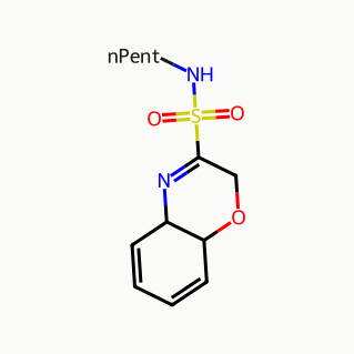 CCCCCNS(=O)(=O)C1=NC2C=CC=CC2OC1